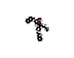 CCC(C(=O)c1ncco1)(C1CCN(Cc2ccc3ccccc3c2)CC1)C(CCC(=O)c1ncco1)C1CCN(Cc2cnc3ccccc3c2)CC1